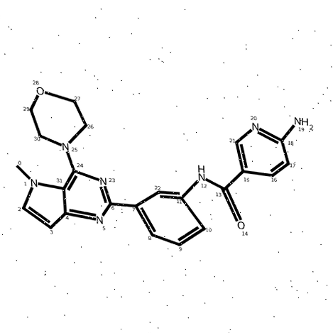 Cn1ccc2nc(-c3cccc(NC(=O)c4ccc(N)nc4)c3)nc(N3CCOCC3)c21